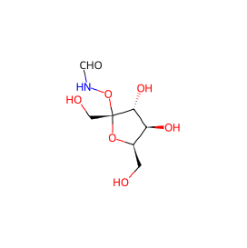 O=CNO[C@@]1(CO)O[C@H](CO)[C@H](O)[C@H]1O